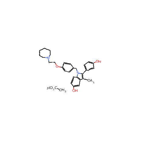 CC(=O)O.Cc1c(-c2ccc(O)cc2)n(Cc2ccc(OCCN3CCCCCC3)cc2)c2ccc(O)cc12